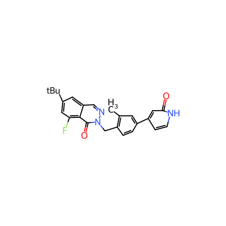 Cc1cc(-c2cc[nH]c(=O)c2)ccc1Cn1ncc2cc(C(C)(C)C)cc(F)c2c1=O